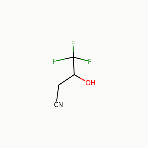 N#CCC(O)C(F)(F)F